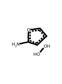 Nc1ccco1.OO